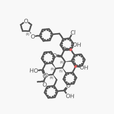 CC(=O)O[C@H](Cc1ccccc1C(=O)O)[C@@H](c1ccccc1C(=O)O)[C@H](c1ccccc1C(=O)O)[C@@H](C(=O)c1ccc(Cl)c(Cc2ccc(O[C@@H]3CCOC3)cc2)c1)c1ccccc1C(=O)O